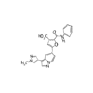 Cn1cc(-c2cnn3ccc(-c4cc(C(=O)O)c(C(=O)Nc5ccccc5)o4)cc23)cn1